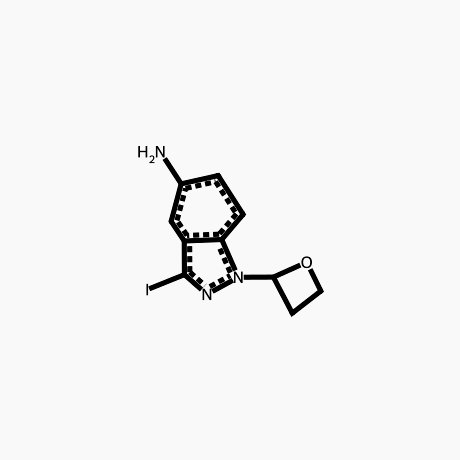 Nc1ccc2c(c1)c(I)nn2C1CCO1